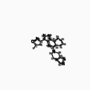 Cc1cc(-c2nnn3c2nc(N2CCn4cnnc4C2)c2ccccc23)no1